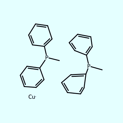 CP(c1ccccc1)c1ccccc1.CP(c1ccccc1)c1ccccc1.[Cu]